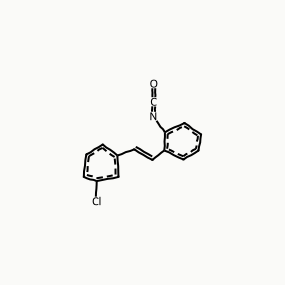 O=C=Nc1ccccc1C=Cc1cccc(Cl)c1